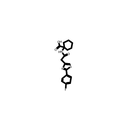 O=C(Cc1csc(-c2ccc(F)cc2)n1)NC1(C(=O)O)CCCCC1